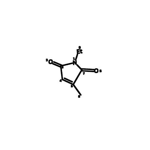 CCN1C(=O)C=C(C)C1=O